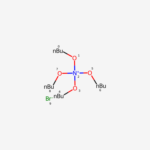 CCCCO[N+](OCCCC)(OCCCC)OCCCC.[Br-]